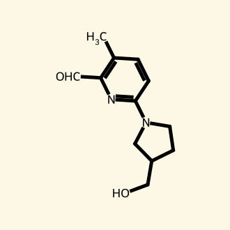 Cc1ccc(N2CCC(CO)C2)nc1C=O